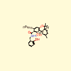 CCCCCc1cc2c(c(O)c1C(=O)NCc1ccccc1Br)[C@@H]1C=C(C)CC[C@H]1C(C)(C)O2